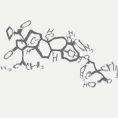 CC(C)C1=C2[C@H]3CC[C@@H]4[C@@]5(C)CC[C@H](OC(=O)CC(C)(C)C(=O)O)C(C)(C)[C@@H]5CC[C@@]4(C)[C@]3(C)CC[C@@]2(C(=O)N2CCC2)CC1=O